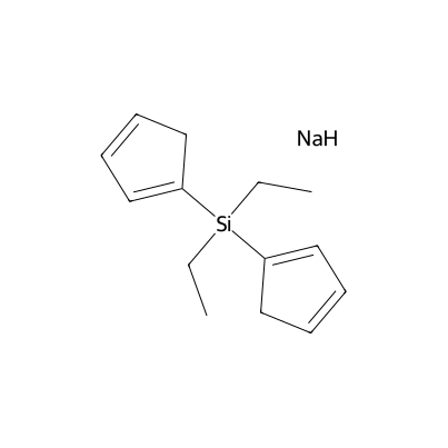 CC[Si](CC)(C1=CC=CC1)C1=CC=CC1.[NaH]